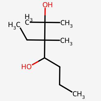 CCCC(O)C(C)(CC)C(C)(C)O